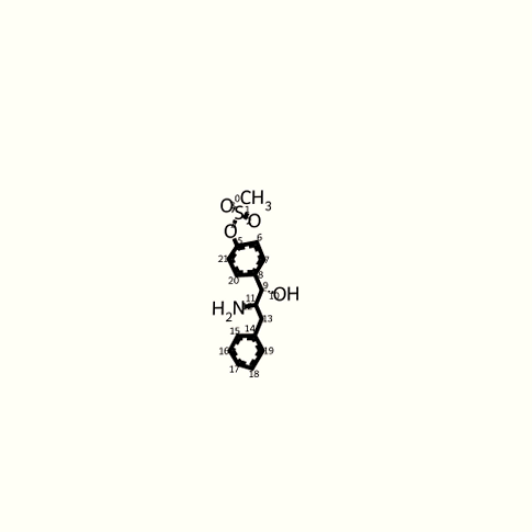 CS(=O)(=O)Oc1ccc([C@H](O)C(N)Cc2ccccc2)cc1